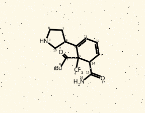 CCC(C)C(=O)C1(C(F)(F)F)C(C2CCNC2)=CC=CC1C(N)=O